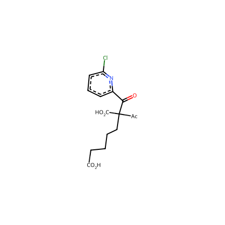 CC(=O)C(CCCCC(=O)O)(C(=O)O)C(=O)c1cccc(Cl)n1